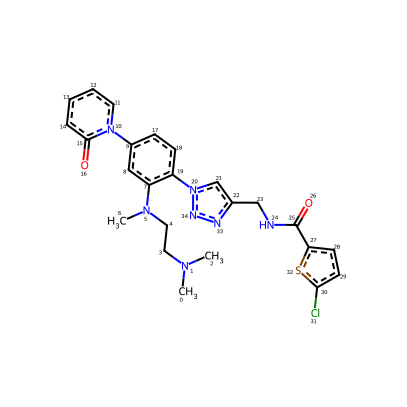 CN(C)CCN(C)c1cc(-n2ccccc2=O)ccc1-n1cc(CNC(=O)c2ccc(Cl)s2)nn1